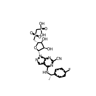 C[C@H](Nc1nc(C#N)nc2c1cnn2[C@@H]1O[C@H](CS(=O)(=O)CP(=O)(O)O)[C@@H](O)[C@H]1O)c1ccc(F)cc1